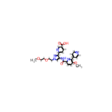 COCCOCCn1cc(NC(=O)c2ccc(OC)c(-c3ccncc3)n2)c(-c2ccccn2)n1.O=CO